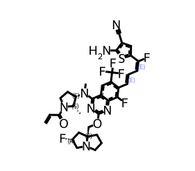 C=CC(=O)N1CC[C@H](N(C)c2nc(OC[C@@]34CCCN3C[C@H](F)C4)nc3c(F)c(/C=C/C=C(/F)c4cc(C#N)c(N)s4)c(C(F)(F)F)cc23)[C@@H]1C